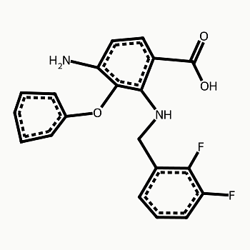 Nc1ccc(C(=O)O)c(NCc2cccc(F)c2F)c1Oc1ccccc1